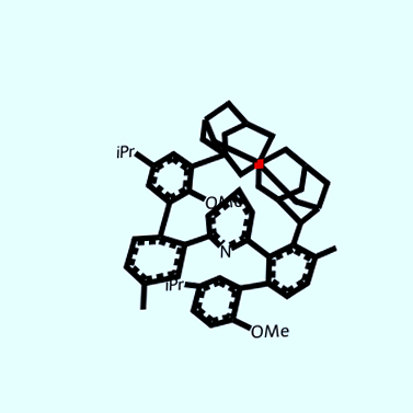 COc1ccc(C(C)C)cc1-c1ccc(C)c(C2C3CC4CC(C3)CC2C4)c1-c1cccc(-c2cc(C)ccc2-c2cc(C(C)C)cc(C34CC5CC(CC(C5)C3)C4)c2OC)n1